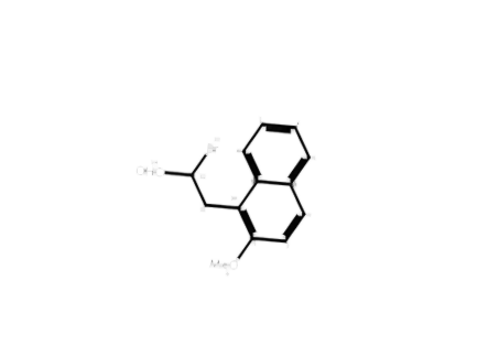 COc1ccc2ccccc2c1CC(Br)C=O